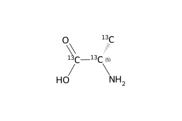 [13CH3][13C@H](N)[13C](=O)O